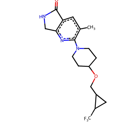 Cc1cc2c(nc1N1CCC(OCC3CC3C(F)(F)F)CC1)CNC2=O